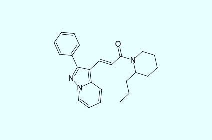 CCCC1CCCCN1C(=O)/C=C/c1c(-c2ccccc2)nn2ccccc12